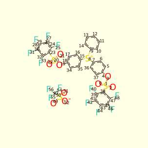 O=S(=O)(Oc1ccc([S+](c2ccccc2)c2ccc(OS(=O)(=O)c3c(F)c(F)c(F)c(F)c3F)cc2)cc1)c1c(F)c(F)c(F)c(F)c1F.O=S(=O)([O-])C(F)(F)F